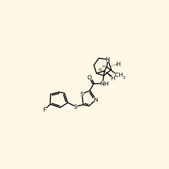 C[C@H]1[C@H](NC(=O)c2ncc(Sc3cccc(F)c3)s2)C2CCN1CC2